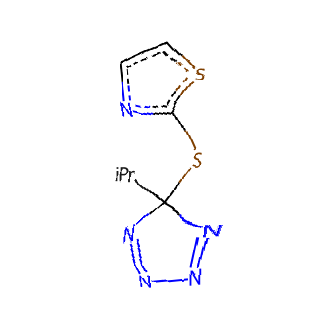 CC(C)C1(Sc2nccs2)N=NN=N1